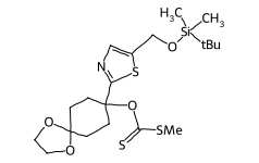 CSC(=S)OC1(c2ncc(CO[Si](C)(C)C(C)(C)C)s2)CCC2(CC1)OCCO2